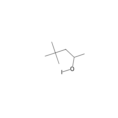 CC(CC(C)(C)C)OI